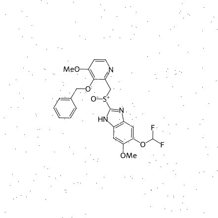 COc1cc2[nH]c([S+]([O-])Cc3nccc(OC)c3OCc3ccccc3)nc2cc1OC(F)F